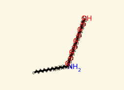 CCCCCCCCCCCCCCCCCC(N)OCCOCCOCCOCCOCCOCCOCCOCCO